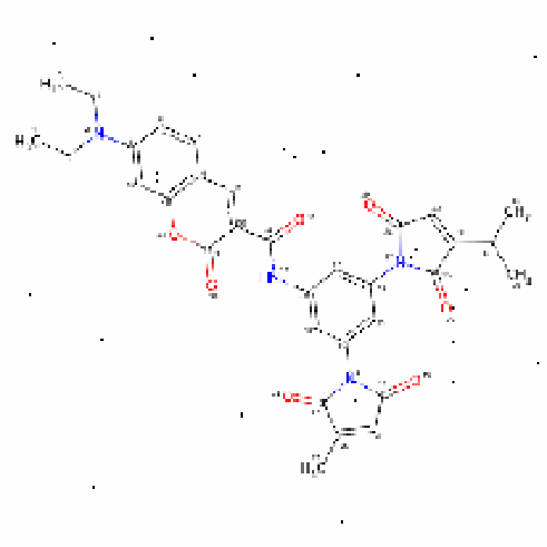 CCN(CC)c1ccc2cc(C(=O)Nc3cc(N4C(=O)C=C(C)C4=O)cc(N4C(=O)C=C(C(C)C)C4=O)c3)c(=O)oc2c1